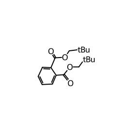 CC(C)(C)COC(=O)c1ccccc1C(=O)OCC(C)(C)C